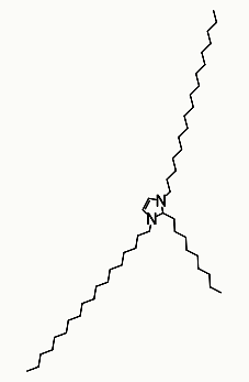 CCCCCCCCCCCCCCCCCCN1C=CN(CCCCCCCCCCCCCCCCCC)C1CCCCCCCCC